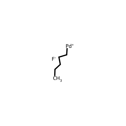 CCCC[CH2][Pd+].[F-]